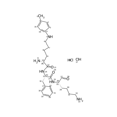 Cc1ccc(NCCCC[C@@H](N)C(=O)N[C@@H](Cc2ccccc2)C(=O)N[C@H](C=O)CCCCN)cc1.Cl.Cl